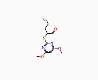 COc1cc(OC)nc(SC(C=O)CCCl)n1